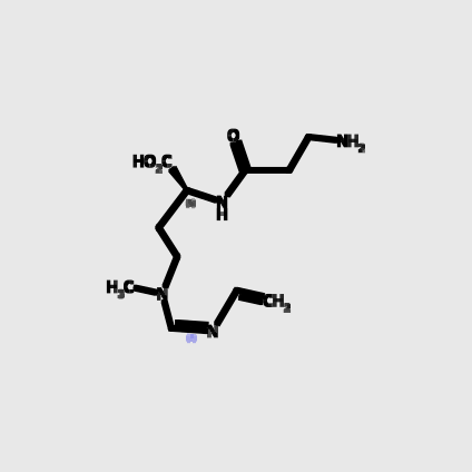 C=C/N=C\N(C)CC[C@H](NC(=O)CCN)C(=O)O